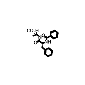 C[C@H](NC(=O)[C@H](CC1=CCCC=C1)NC(=O)c1ccccc1)C(=O)O